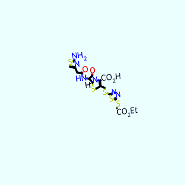 CCOC(=O)CSc1nnc(SCC2=C(C(=O)O)N3C(=O)C(NC(=O)Cc4csc(N)n4)[C@@H]3SC2)s1